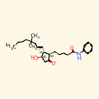 CCCCC(C)(C)C/C=C/[C@H]1[C@H](O)CC(=O)[C@@H]1CCCCC(=O)Nc1ccccc1